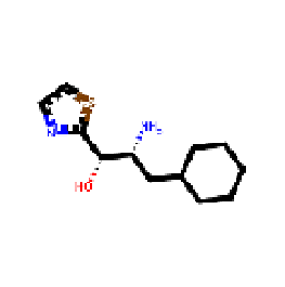 N[C@H](CC1CCCCC1)[C@H](O)c1nccs1